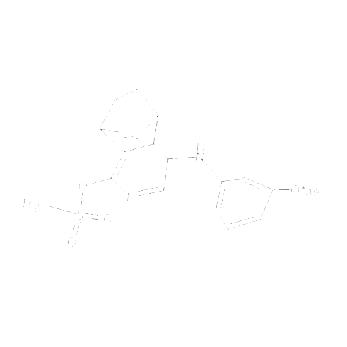 COc1cccc(Nc2cnc(OS(C)(=O)=O)c3c2C2CCC3CC2)c1